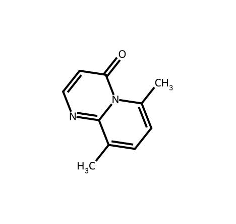 Cc1ccc(C)n2c(=O)ccnc12